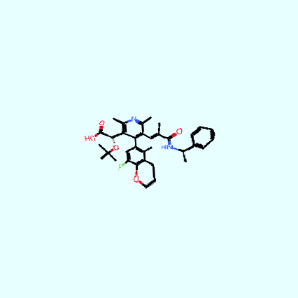 C/C(=C\c1c(C)nc(C)c([C@H](OC(C)(C)C)C(=O)O)c1-c1cc(F)c2c(c1C)CCCO2)C(=O)N[C@H](C)c1ccccc1